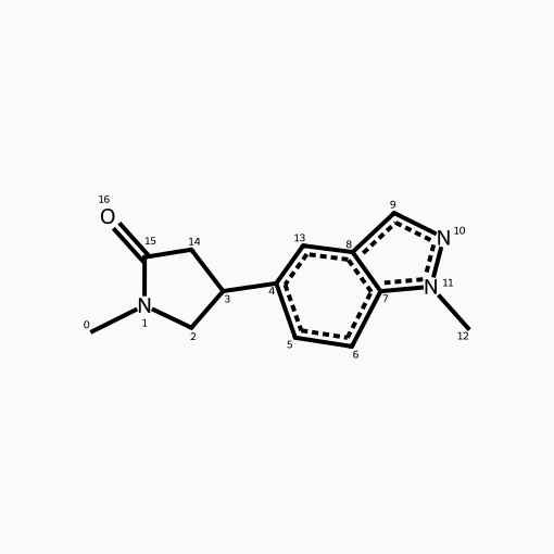 CN1CC(c2ccc3c(cnn3C)c2)CC1=O